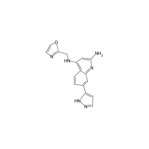 Nc1cc(NCc2ncco2)c2ccc(-c3ccn[nH]3)cc2n1